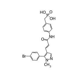 Cn1ncc(C=CC(=O)Nc2ccc(CP(=O)(O)O)cc2)c1-c1ccc(Br)cc1